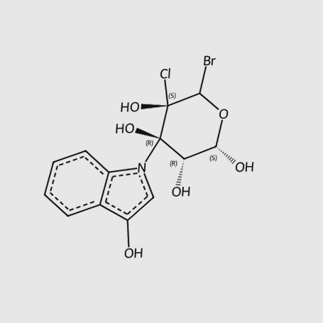 Oc1cn([C@@]2(O)[C@@H](O)[C@@H](O)OC(Br)[C@@]2(O)Cl)c2ccccc12